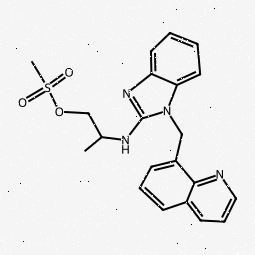 CC(COS(C)(=O)=O)Nc1nc2ccccc2n1Cc1cccc2cccnc12